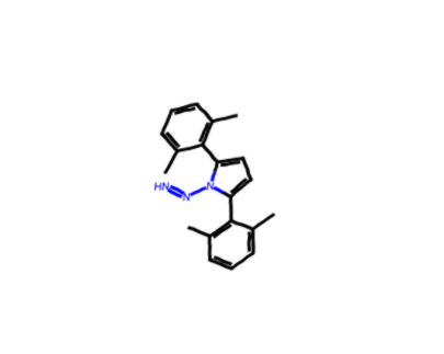 Cc1cccc(C)c1-c1ccc(-c2c(C)cccc2C)n1N=N